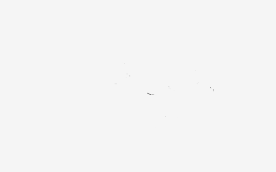 CNC(=O)[C@H](CC(C)C)[AsH][C@H](CCN1C(=O)c2cc3ccccc3cc2C1=O)C(=O)O